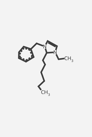 CCCCCCC1N(CC)C=CN1Cc1ccccc1